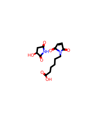 O=C(O)CCCCCN1C(=O)C=CC1=O.O=C1CC(O)C(=O)N1